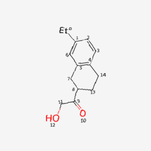 CCc1ccc2c(c1)CC(C(=O)CO)CC2